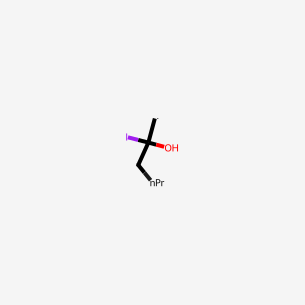 [CH2]C(O)(I)CCCC